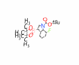 CC(C)(C)OC(=O)n1cc(B2OC(C)(C)C(C)(C)O2)c2cccc(F)c21